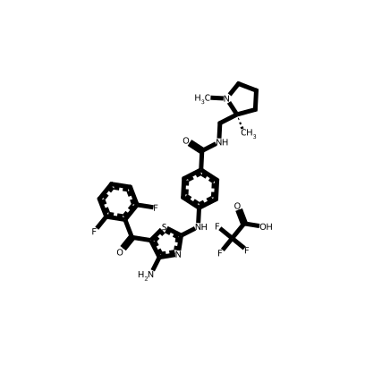 CN1CCC[C@@]1(C)CNC(=O)c1ccc(Nc2nc(N)c(C(=O)c3c(F)cccc3F)s2)cc1.O=C(O)C(F)(F)F